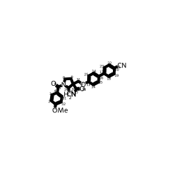 COc1ccc(C(=O)N2CCC(COc3ccc(-c4ccc(C#N)cc4)cc3)(C(N)=O)C2C#N)cc1